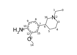 CCN1CCCC(c2ccc(N)c(OC)c2)C1